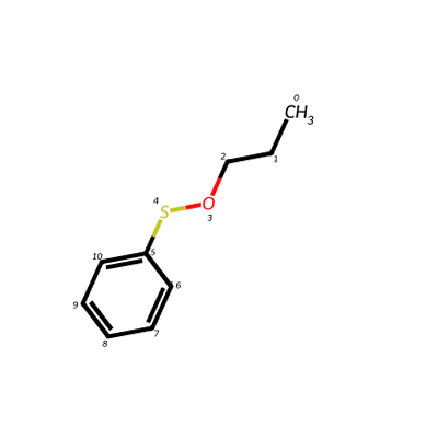 CCCOSc1[c]cccc1